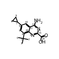 CC(C)(C)c1cc(C2CC2)cc2c(N)nc(C(=O)O)nc12